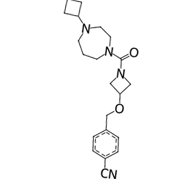 N#Cc1ccc(COC2CN(C(=O)N3CCCN(C4CCC4)CC3)C2)cc1